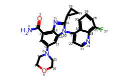 NC(=O)c1cc(N2CCOCC2)cc2c1nc(C1CC1)n2-c1ccnc2c(F)cccc12